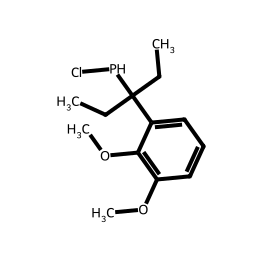 CCC(CC)(PCl)c1cccc(OC)c1OC